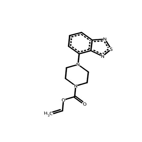 C=COC(=O)N1CCN(c2cccc3nsnc23)CC1